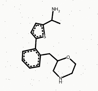 CC(N)c1ccc(-c2ccccc2CC2CNCCO2)s1